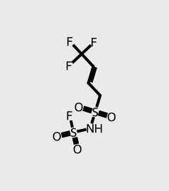 O=S(=O)(F)NS(=O)(=O)CC=CC(F)(F)F